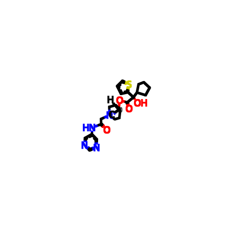 O=C(C[N+]12CCC(CC1)[C@@H](OC(=O)C(O)(c1cccs1)C1CCCC1)C2)Nc1cncnc1